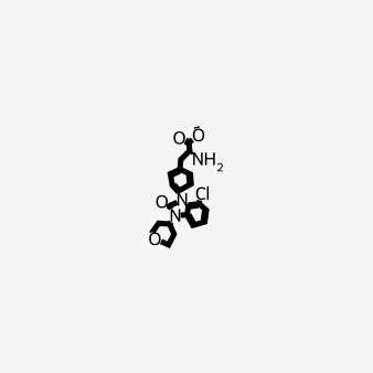 COC(=O)[C@@H](N)Cc1ccc(-n2c(=O)n(C3CCOCC3)c3cccc(Cl)c32)cc1